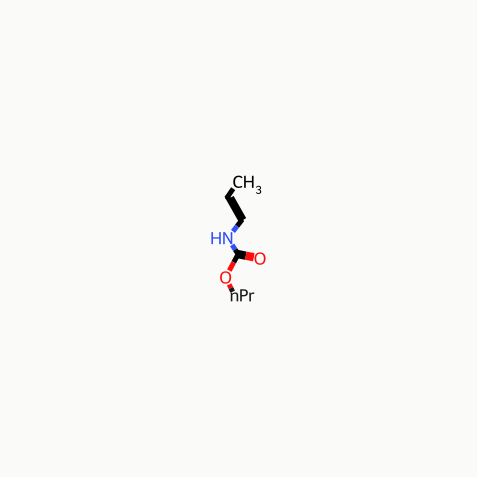 CC=CNC(=O)OCCC